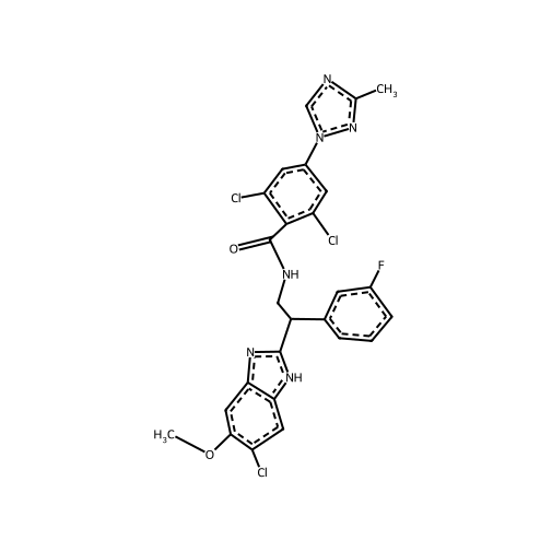 COc1cc2nc(C(CNC(=O)c3c(Cl)cc(-n4cnc(C)n4)cc3Cl)c3cccc(F)c3)[nH]c2cc1Cl